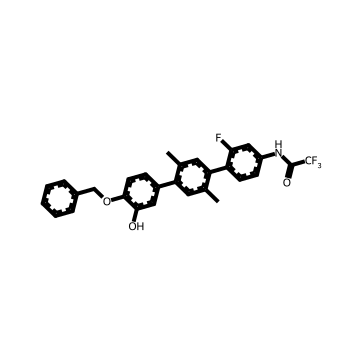 Cc1cc(-c2ccc(NC(=O)C(F)(F)F)cc2F)c(C)cc1-c1ccc(OCc2ccccc2)c(O)c1